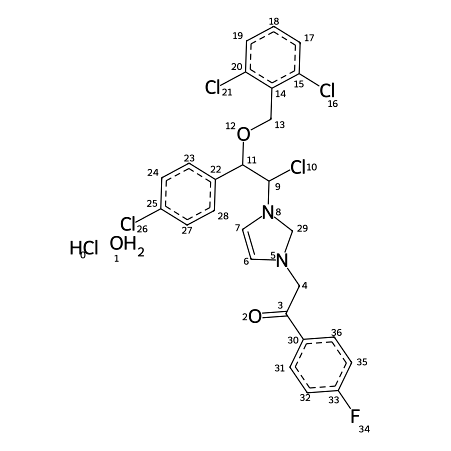 Cl.O.O=C(CN1C=CN(C(Cl)C(OCc2c(Cl)cccc2Cl)c2ccc(Cl)cc2)C1)c1ccc(F)cc1